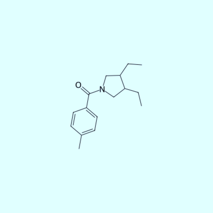 CCC1CN(C(=O)c2ccc(C)cc2)CC1CC